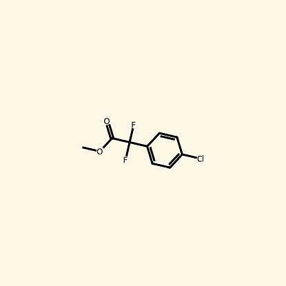 COC(=O)C(F)(F)c1ccc(Cl)cc1